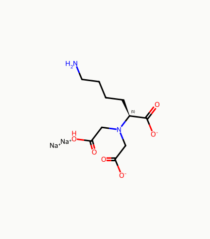 NCCCC[C@@H](C(=O)[O-])N(CC(=O)[O-])CC(=O)O.[Na+].[Na+]